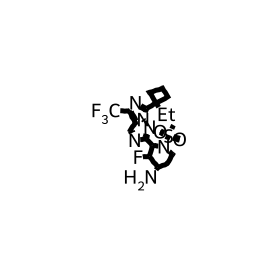 CCC1(c2nc(C(F)(F)F)c3cnc(C4C(F)C(N)CCN4S(C)(=O)=O)nn23)CCC1